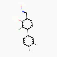 COc1ccc(-c2ccc(/C=N/O)c(O)c2Cl)cc1C